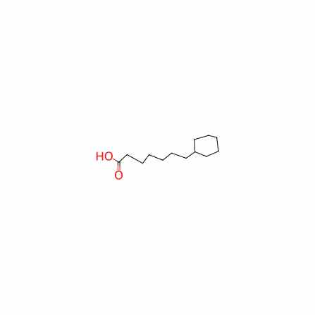 O=C(O)CCCCCCC1CCCCC1